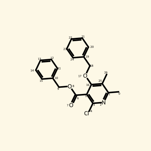 Cc1nc(Cl)c(C(=O)OCc2ccccc2)c(OCc2ccccc2)c1C